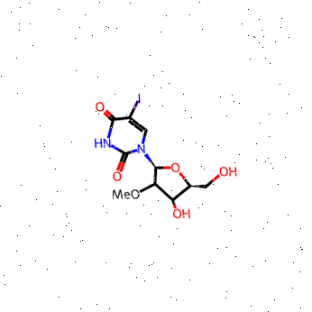 COC1C(O)[C@H](CO)O[C@@H]1n1cc(I)c(=O)[nH]c1=O